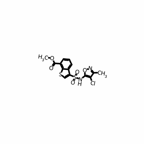 COC(=O)c1cccc2c(S(=O)(=O)Nc3onc(C)c3Cl)csc12